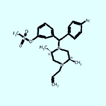 C=CCN1C[C@H](C)N(C(c2ccc(C(C)=O)cc2)c2cccc(OS(=O)(=O)C(F)(F)F)c2)C[C@H]1C